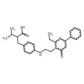 CCc1nc(-c2ccccc2)cc(=O)n1CCNc1ccc(SC(C(=O)O)C(C)C)cc1